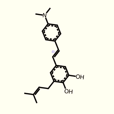 CC(C)=CCc1cc(/C=C/c2ccc(N(C)C)cc2)cc(O)c1O